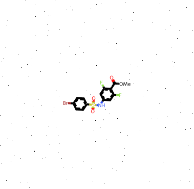 COC(=O)c1c(F)cc(NS(=O)(=O)c2ccc(Br)cc2)cc1F